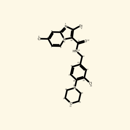 CCc1nc2cc(Cl)ccn2c1C(=O)NCc1ccc(N2CCOCC2)c(Cl)c1